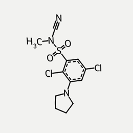 CN(C#N)S(=O)(=O)c1cc(Cl)cc(N2CCCC2)c1Cl